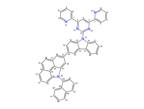 c1ccc(-c2cc(-c3ccccn3)nc(-n3c4ccccc4c4cc(-c5cc6ccc7cccc8c7c6c(c5)n8-c5cccc6ccccc56)ccc43)n2)nc1